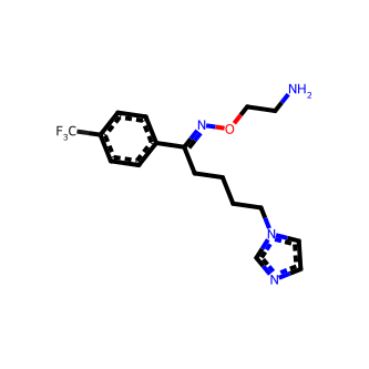 NCCON=C(CCCCn1ccnc1)c1ccc(C(F)(F)F)cc1